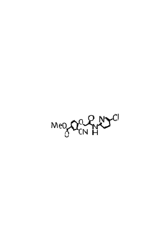 COC(=O)c1ccc(OCC(=O)Nc2ccc(Cl)cn2)c(C#N)c1